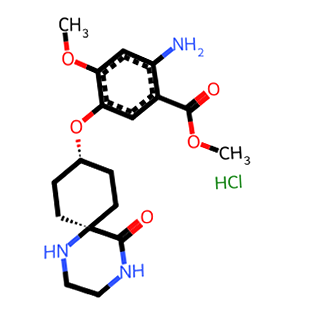 COC(=O)c1cc(O[C@H]2CC[C@@]3(CC2)NCCNC3=O)c(OC)cc1N.Cl